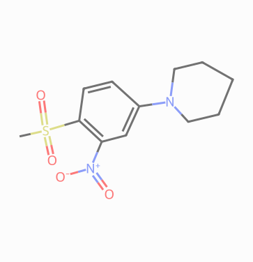 CS(=O)(=O)c1ccc(N2CCCCC2)cc1[N+](=O)[O-]